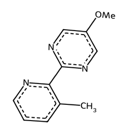 COc1cnc(-c2ncccc2C)nc1